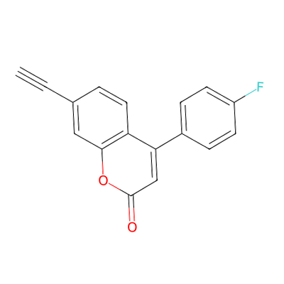 C#Cc1ccc2c(-c3ccc(F)cc3)cc(=O)oc2c1